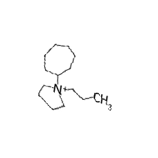 CCC[N+]1(C2CCCCCC2)CCCC1